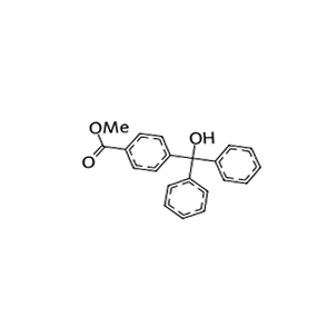 COC(=O)c1ccc(C(O)(c2ccccc2)c2ccccc2)cc1